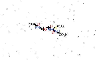 CC(C)(C)CCC(=O)NCCC(C)(C)OCC(C)(C)C(=O)N[C@@H](CSCC(C)(C)C)C(=O)NCCC(=O)O